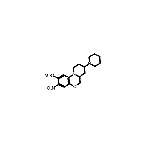 COc1cc2c(cc1[N+](=O)[O-])OCC1CC(N3CCCCC3)CCN21